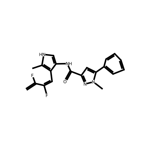 C=C(F)/C(F)=C\c1c(NC(=O)c2cc(-c3ccccc3)n(C)n2)c[nH]c1C